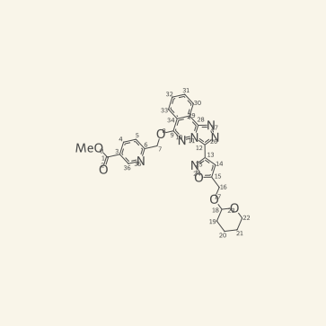 COC(=O)c1ccc(COc2nn3c(-c4cc(COC5CCCCO5)on4)nnc3c3ccccc23)nc1